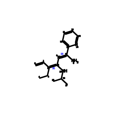 C=C/C(CC)=C(\N=C(/N)c1ccccn1)NC(C)C